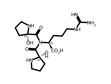 N=C(N)NCCC[C@@H](C(=O)O)N(C(=O)[C@@]1(O)CCCN1)C(=O)[C@@]1(O)CCCN1